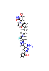 Nc1nnc(-c2ccccc2O)cc1-c1cnn([C@@H]2CCN([C@H]3CC[C@H](c4cccc5c4OCCN5[C@@H]4CCC(=O)NC4=O)CC3)CC2(F)F)c1